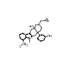 O=[N+]([O-])c1cccc2c3c([nH]c12)CC1(c2cccc(O)c2)CCN(CC2CC2)CC1(O)C3